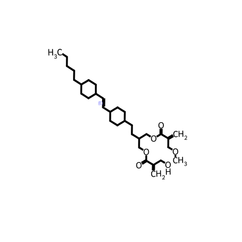 C=C(CO)C(=O)OCC(CCC1CCC(/C=C/C2CCC(CCCCC)CC2)CC1)COC(=O)C(=C)COC